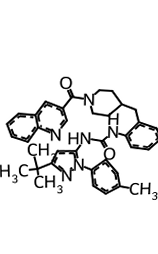 Cc1ccc(-n2nc(C(C)(C)C)cc2NC(=O)Nc2ccccc2CC2CCN(C(=O)c3cnc4ccccc4c3)CC2)cc1